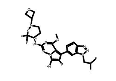 [2H]c1c(F)c(-c2ccc3nnn(CC(F)F)c3c2)c2c(OC)nc(N[C@@H]3CCN(C4COC4)CC3(F)F)nn12